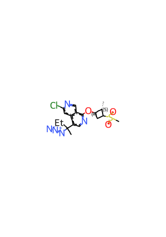 CCC(C)(N=[N+]=[N-])c1cnc(O[C@@H]2CC(S(C)(=O)=O)[C@H]2C)c2cnc(Cl)cc12